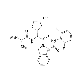 CNC(C)C(=O)NC(C(=O)N1Cc2ccccc2[C@H]1C(=O)Nc1c(F)cccc1F)C1CCCC1.Cl